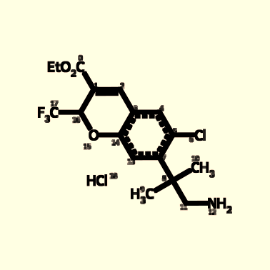 CCOC(=O)C1=Cc2cc(Cl)c(C(C)(C)CN)cc2OC1C(F)(F)F.Cl